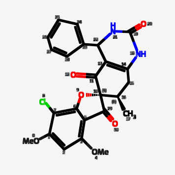 COc1cc(OC)c2c(c1Cl)O[C@@]1(C(=O)C3=C(C[C@H]1C)NC(=O)NC3c1ccccc1)C2=O